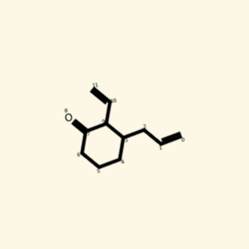 C=CCC1CCCC(=O)C1C=C